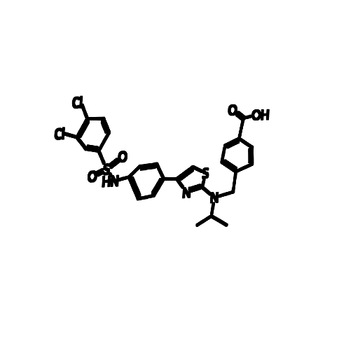 CC(C)N(Cc1ccc(C(=O)O)cc1)c1nc(-c2ccc(NS(=O)(=O)c3ccc(Cl)c(Cl)c3)cc2)cs1